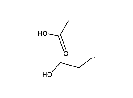 CC(=O)O.[CH2]CCO